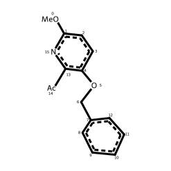 COc1ccc(OCc2ccccc2)c(C(C)=O)n1